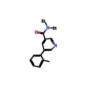 CCN(CC)C(=O)c1cncc(-c2ccccc2C)c1